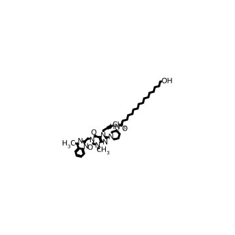 CC#CCn1c(N2CCC[C@@H](NC(=O)CCCCCCCCCCCCCCCO)C2)nc2c1c(=O)n(Cc1nc(C)c3ccccc3n1)c(=O)n2C